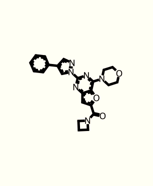 O=C(c1cc2nc(-n3cc(-c4ccccc4)cn3)nc(N3CCOCC3)c2o1)N1CCC1